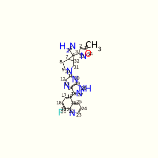 Cc1cc(C2(CN)C3CCN(c4cnc5c(-c6ccc(F)c7ncccc67)n[nH]c5n4)CC32)no1